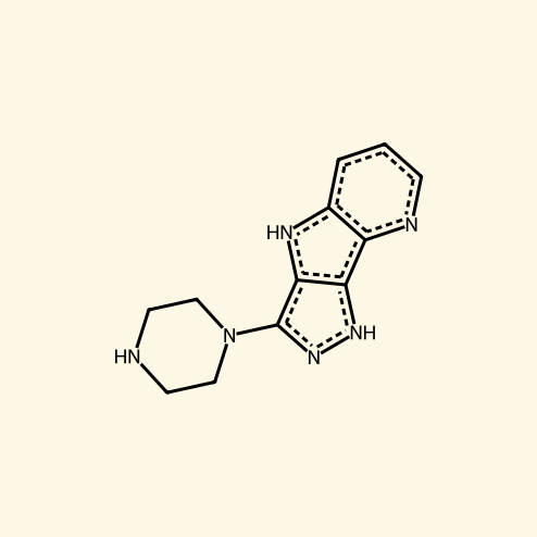 c1cnc2c(c1)[nH]c1c(N3CCNCC3)n[nH]c12